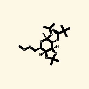 COOC[C@H]1O[C@@](C)(OC(C)C)[C@H](OC(=O)C(C)(C)C)[C@H]2OC(C)(C)O[C@H]21